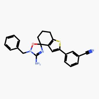 N#Cc1cccc(-c2cc3c(s2)CCCC32N=C(N)N(Cc3ccccc3)O2)c1